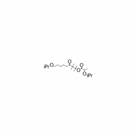 CC(C)OCCCCCC(=O)C(C)(C)C(C)(C)OC(=O)C(C)OC(C)C